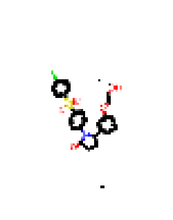 O=C1CCC(c2cccc(OCCO)c2)N1c1ccc(S(=O)(=O)c2ccc(Cl)cc2)cc1